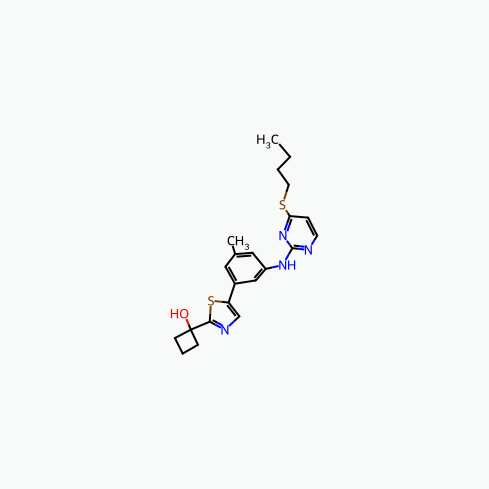 CCCCSc1ccnc(Nc2cc(C)cc(-c3cnc(C4(O)CCC4)s3)c2)n1